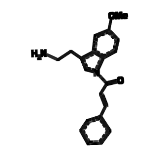 COc1ccc2c(c1)c(CCN)cn2C(=O)C=Cc1ccccc1